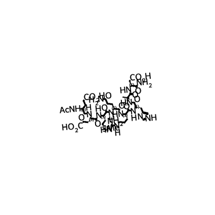 CSCC[C@H](NC(=O)[C@H](CCC(=O)O)NC(=O)[C@H](CCC(=O)O)NC(C)=O)C(=O)N[C@@H](CCC(N)=O)C(=O)N[C@@H](CCCNC(=N)N)C(=O)N[C@@H](Cc1c[nH]cn1)C(=O)N[C@@H](C)C(=O)N[C@@H](CC(=O)O)C(N)=O